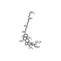 CC(C)[C@](CO)(CC[C@@H](C)[C@H]1CCC2C3C(CC[C@@]21C)[C@@]1(C)CC[C@H](NCCCNCCCCNCCCN)C[C@@H]1C[C@H]3O)OS(=O)(=O)O